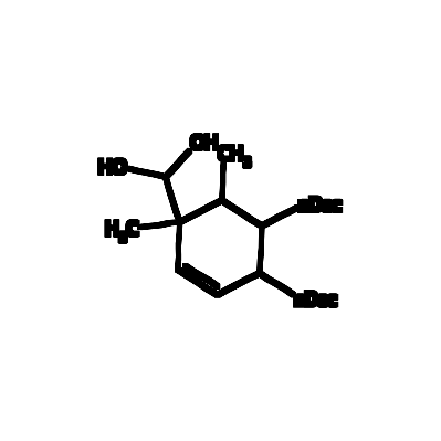 CCCCCCCCCCC1C=CC(C)(C(O)O)C(C)C1CCCCCCCCCC